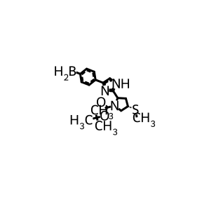 Bc1ccc(-c2c[nH]c(C3C[C@H](SC)CN3C(=O)OC(C)(C)C)n2)cc1